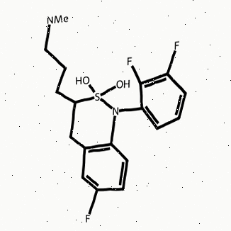 CNCCCC1Cc2cc(F)ccc2N(c2cccc(F)c2F)S1(O)O